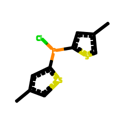 Cc1csc(P(Cl)c2cc(C)cs2)c1